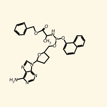 CC(NP(OCC1CCC(n2cnc3c(N)ncnc32)O1)Oc1cccc2ccccc12)C(=O)OCc1ccccc1